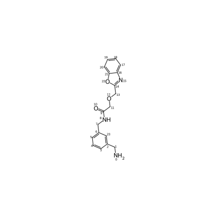 NCc1cccc(CNC(=O)COCc2nc3ccccc3o2)c1